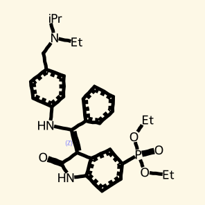 CCOP(=O)(OCC)c1ccc2c(c1)/C(=C(/Nc1ccc(CN(CC)C(C)C)cc1)c1ccccc1)C(=O)N2